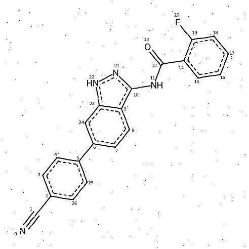 N#Cc1ccc(-c2ccc3c(NC(=O)c4ccccc4F)n[nH]c3c2)cc1